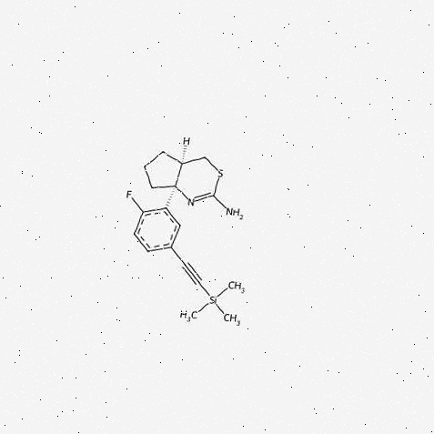 C[Si](C)(C)C#Cc1ccc(F)c([C@]23CCC[C@H]2CSC(N)=N3)c1